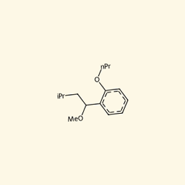 CCCOc1ccccc1C(CC(C)C)OC